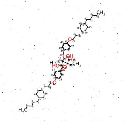 CCCCC[C@H]1CC[C@H](CCCOc2ccc(CO[C@@](CC)(C(=O)O)[C@@](CC)(OCc3ccc(OCCC[C@H]4CC[C@H](CCCCC)CC4)cc3)C(=O)O)cc2)CC1